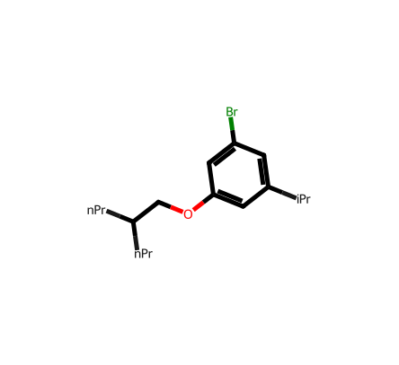 CCCC(CCC)COc1cc(Br)cc(C(C)C)c1